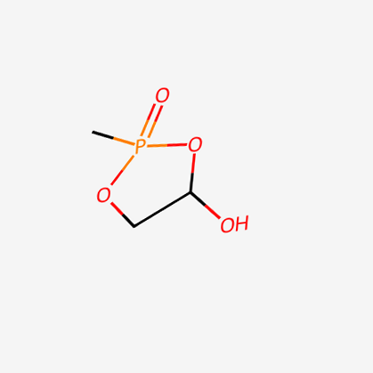 CP1(=O)OCC(O)O1